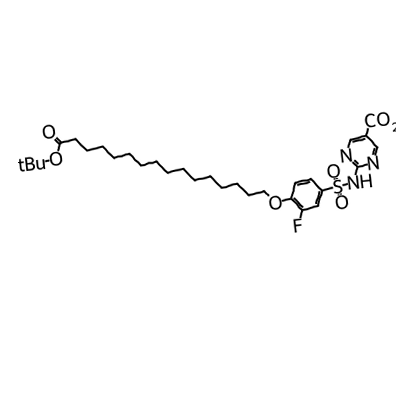 CC(C)(C)OC(=O)CCCCCCCCCCCCCCCOc1ccc(S(=O)(=O)Nc2ncc(C(=O)O)cn2)cc1F